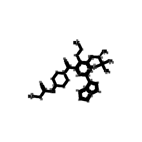 CCOc1c(N[C@H](C)C(C)(C)C)nc(-c2cnn3ccsc23)nc1C(=O)N1CCC(NC(=O)OC)CC1